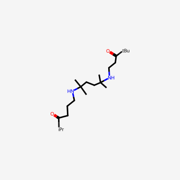 CC(C)C(=O)CCCNC(C)(C)CCC(C)(C)NCCC(=O)C(C)(C)C